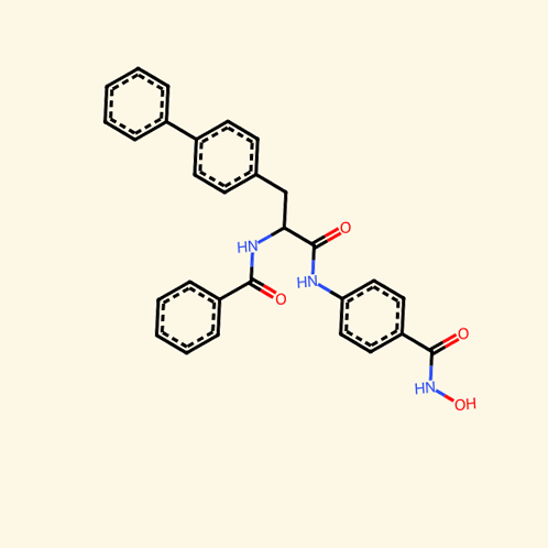 O=C(NO)c1ccc(NC(=O)C(Cc2ccc(-c3ccccc3)cc2)NC(=O)c2ccccc2)cc1